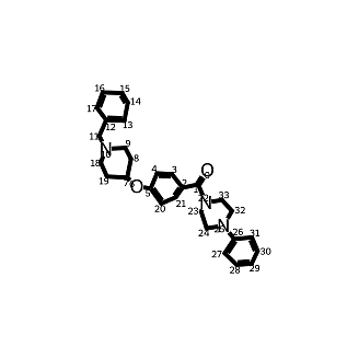 O=C(c1ccc(OC2CCN(Cc3ccccc3)CC2)cc1)N1CCN(c2ccccc2)CC1